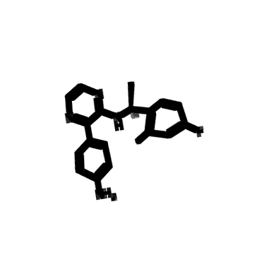 Cc1cc(F)ccc1[C@H](C)Nc1nccnc1-c1ccc(N)cc1